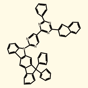 c1ccc(-c2nc(-c3cnc(-n4c5ccccc5c5cc6c(cc54)C(c4ccccc4)(c4ccccc4)c4ccccc4-6)nc3)nc(-c3ccc4ccccc4c3)n2)cc1